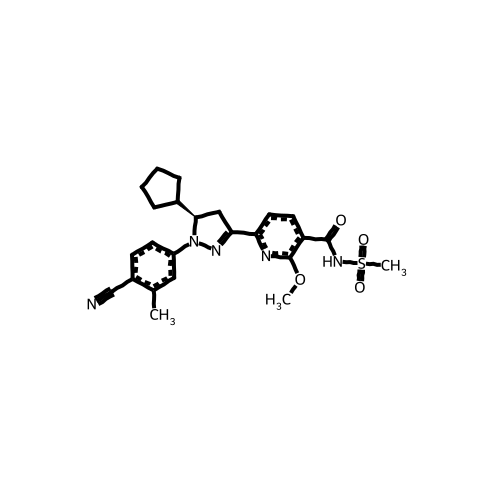 COc1nc(C2=NN(c3ccc(C#N)c(C)c3)[C@@H](C3CCCC3)C2)ccc1C(=O)NS(C)(=O)=O